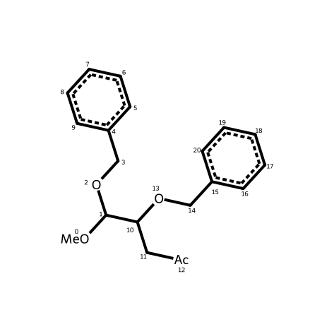 COC(OCc1ccccc1)C(CC(C)=O)OCc1ccccc1